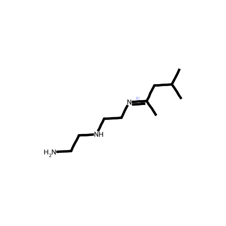 C/C(CC(C)C)=N\CCNCCN